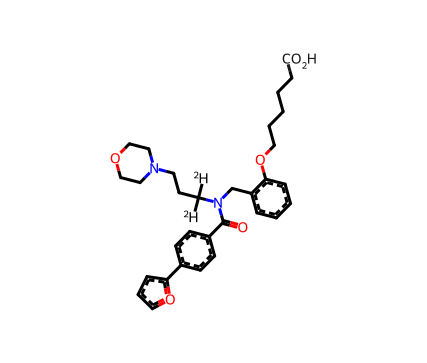 [2H]C([2H])(CCN1CCOCC1)N(Cc1ccccc1OCCCCCC(=O)O)C(=O)c1ccc(-c2ccco2)cc1